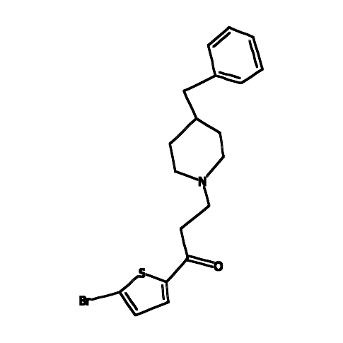 O=C(CCN1CCC(Cc2ccccc2)CC1)c1ccc(Br)s1